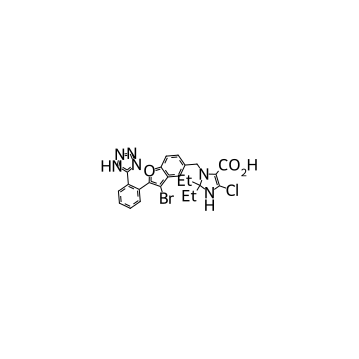 CCC1(CC)NC(Cl)=C(C(=O)O)N1Cc1ccc2oc(-c3ccccc3-c3nnn[nH]3)c(Br)c2c1